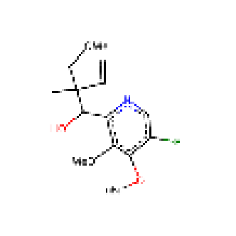 C=CC(C)(COC)C(O)c1ncc(Br)c(OCCCC)c1OC